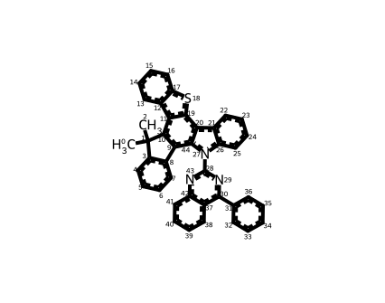 CC1(C)c2ccccc2-c2c1c1c3ccccc3sc1c1c3ccccc3n(-c3nc(-c4ccccc4)c4ccccc4n3)c21